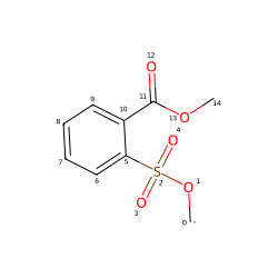 [CH2]OS(=O)(=O)c1ccccc1C(=O)OC